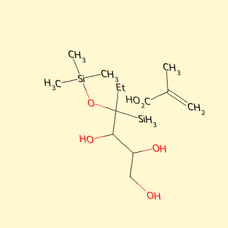 C=C(C)C(=O)O.CCC([SiH3])(O[Si](C)(C)C)C(O)C(O)CO